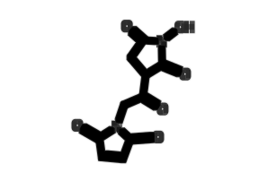 O=C(CN1C(=O)C=CC1=O)C1CC(=O)N(O)C1=O